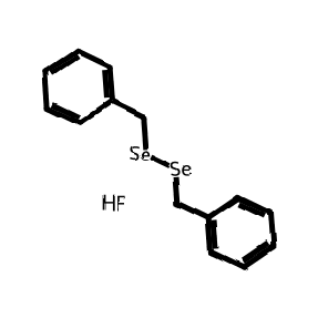 F.c1ccc(C[Se][Se]Cc2ccccc2)cc1